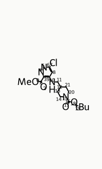 COC(=O)c1nnc(Cl)cc1NCC1CCN(C(=O)OC(C)(C)C)CC1